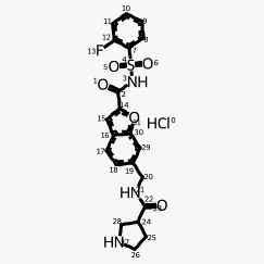 Cl.O=C(NS(=O)(=O)c1ccccc1F)c1cc2ccc(CNC(=O)C3CCNC3)cc2o1